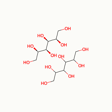 OCC(O)C(O)C(O)C(O)CO.OC[C@@H](O)[C@H](O)[C@@H](O)[C@H](O)CO